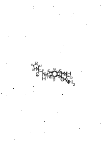 Cc1c2nc(NCC(=O)N3CCCC3)sc2cc2sc(NC(C)C(N)=O)nc12